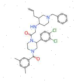 C=CCC1CN(Cc2ccccc2)CCC1NCC(=O)N1CCN(C(=O)c2cc(C)cc(C)c2)CC1c1ccc(Cl)c(Cl)c1